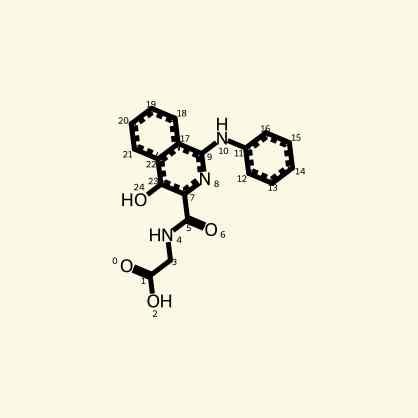 O=C(O)CNC(=O)c1nc(Nc2ccccc2)c2ccccc2c1O